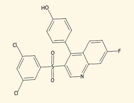 O=S(=O)(c1cc(Cl)cc(Cl)c1)c1cnc2cc(F)ccc2c1-c1ccc(O)cc1